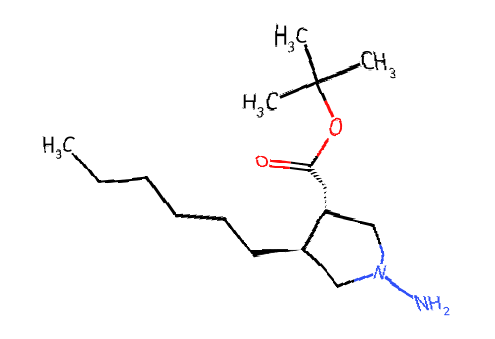 CCCCCC[C@@H]1CN(N)C[C@H]1C(=O)OC(C)(C)C